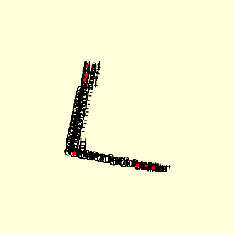 O=PO.O=PO.O=PO.O=PO.O=PO.O=P[O-].O=P[O-].O=P[O-].O=P[O-].O=P[O-].O=P[O-].O=P[O-].O=P[O-].O=P[O-].O=P[O-].O=P[O-].O=P[O-].O=P[O-].O=P[O-].O=P[O-].O=P[O-].O=P[O-].O=P[O-].O=P[O-].O=P[O-].[Na+].[Na+].[Na+].[Na+].[Na+].[Na+].[Na+].[Na+].[Na+].[Na+].[Na+].[Na+].[Na+].[Na+].[Na+].[Na+].[Na+].[Na+].[Na+].[Na+]